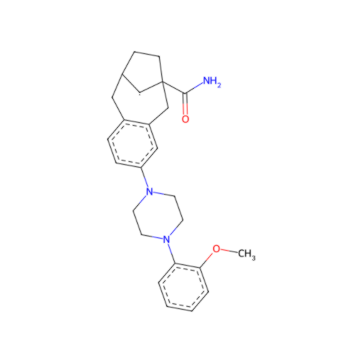 COc1ccccc1N1CCN(c2ccc3c(c2)CC2(C(N)=O)[CH]C(CC2)C3)CC1